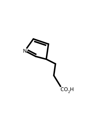 O=C(O)CCC1C=CN=C1